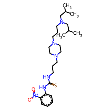 CC(C)CN(CCCN1CCN(CCCNC(=S)Nc2ccccc2[N+](=O)[O-])CC1)CC(C)C